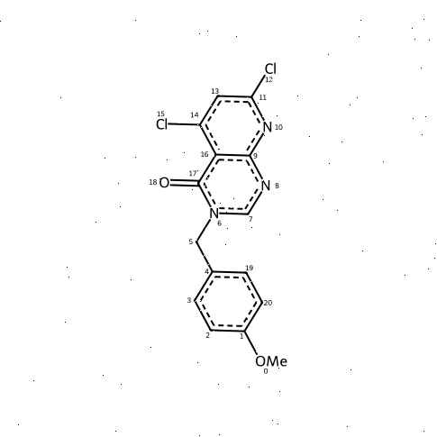 COc1ccc(Cn2cnc3nc(Cl)cc(Cl)c3c2=O)cc1